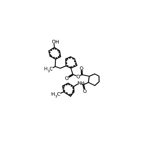 Cc1ccc(NC(=O)C2CCCCC2C(=O)OC(=O)c2ccccc2CC(C)c2ccc(O)cc2)cc1